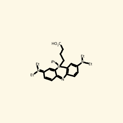 CCN(CC)c1ccc2c(c1)[Si](CCCC(=O)O)(C(C)C)C1=CC(=[N+](CC)CC)C=CC1=N2